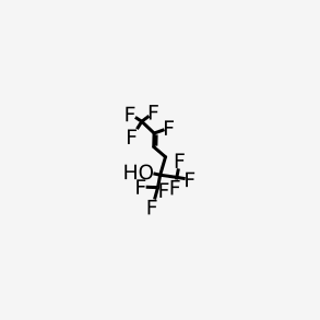 OC(CC=C(F)C(F)(F)F)(C(F)(F)F)C(F)(F)F